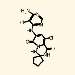 Nc1ncnc(Nc2cc(Cl)c3n(c2=O)NC2(CCCC2)NC3=O)c1Cl